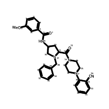 COc1cccc(C(=O)NC2CC(C(=O)N3CCN(c4ccccc4C#N)CC3)N(Cc3ccccc3)C2)c1